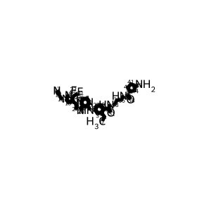 CCc1cc(Nc2nccn3c(-c4cn(CC#N)nc4C(F)(F)F)cnc23)ccc1C(=O)NCCCNC(=O)[C@H]1CC[C@@H](N)C1